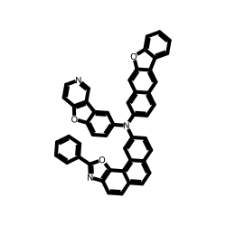 c1ccc(-c2nc3ccc4ccc5ccc(N(c6ccc7cc8c(cc7c6)oc6ccccc68)c6ccc7oc8ccncc8c7c6)cc5c4c3o2)cc1